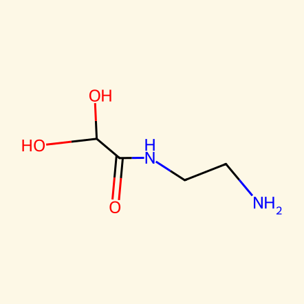 NCCNC(=O)C(O)O